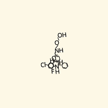 OCCOCCNC[C@H]1CC[C@@H]2[C@H](O1)c1cc(Cl)cc(F)c1N[C@H]2C1C=CC=CC1